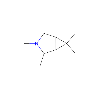 CC1C2C(CN1C)C2(C)C